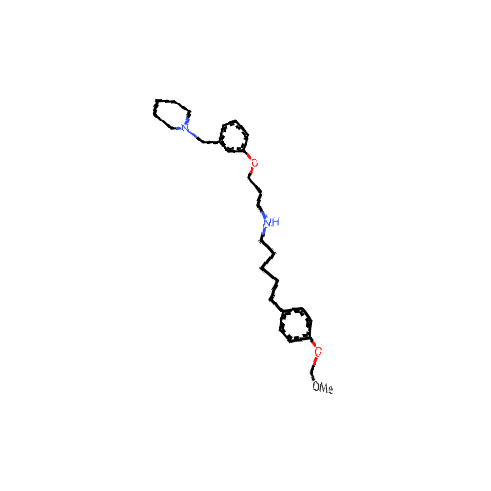 COCOc1ccc(CCCCCNCCCOc2cccc(CN3CCCCC3)c2)cc1